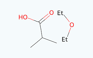 CC(C)C(=O)O.CCOCC